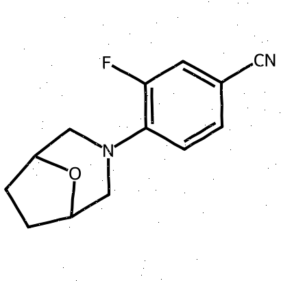 N#Cc1ccc(N2CC3CCC(C2)O3)c(F)c1